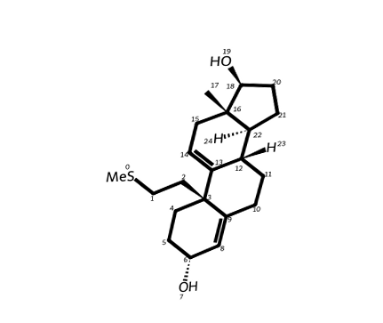 CSCC[C@]12CC[C@@H](O)C=C1CC[C@@H]1C2=CC[C@]2(C)[C@@H](O)CC[C@@H]12